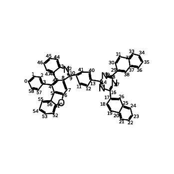 c1ccc(-c2c3c(cc4c(-c5ccc(-c6nc(-c7ccc8ccccc8c7)nc(-c7ccc8ccccc8c7)n6)cc5)nc5ccccc5c24)oc2ccccc23)cc1